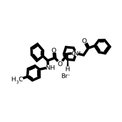 Cc1ccc(NC(C(=O)O[C@H]2C[N+]3(CC(=O)c4ccccc4)CCC2CC3)c2ccccc2)cc1.[Br-]